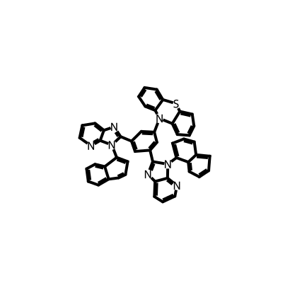 c1ccc2c(c1)Sc1ccccc1N2c1cc(-c2nc3cccnc3n2-c2cccc3ccccc23)cc(-c2nc3cccnc3n2-c2cccc3ccccc23)c1